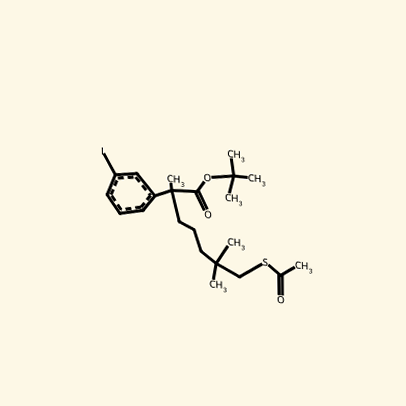 CC(=O)SCC(C)(C)CCCC(C)(C(=O)OC(C)(C)C)c1cccc(I)c1